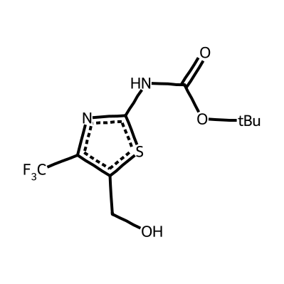 CC(C)(C)OC(=O)Nc1nc(C(F)(F)F)c(CO)s1